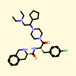 CCN(CC)CC(C1CCCC1)N1CCN(C(=O)[C@@H](Cc2ccc(Cl)cc2)NC(=O)[C@H]2Cc3ccccc3CN2)CC1